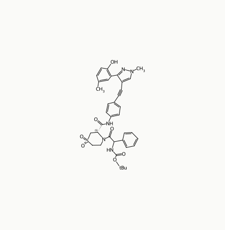 Cc1ccc(O)c(-c2nn(C)cc2C#Cc2ccc(NC(=O)[C@H]3CS(=O)(=O)CCN3C(=O)C(NC(=O)OC(C)(C)C)c3ccccc3)cc2)c1